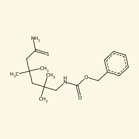 CC(C)(CNC(=O)OCc1ccccc1)CC(C)(C)CC(N)=S